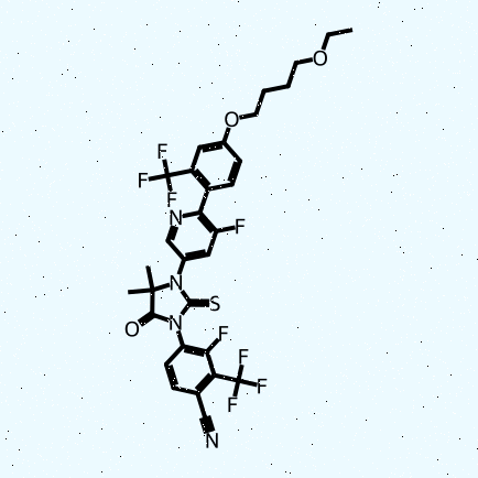 CCOCCCCOc1ccc(-c2ncc(N3C(=S)N(c4ccc(C#N)c(C(F)(F)F)c4F)C(=O)C3(C)C)cc2F)c(C(F)(F)F)c1